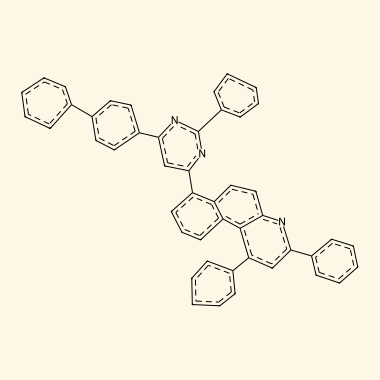 c1ccc(-c2ccc(-c3cc(-c4cccc5c4ccc4nc(-c6ccccc6)cc(-c6ccccc6)c45)nc(-c4ccccc4)n3)cc2)cc1